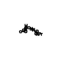 CCCOC(=O)CCN1CCN(c2ccc3c(c2)C2C[C@H]3CCN2C(=O)OCc2ccccc2)CC1